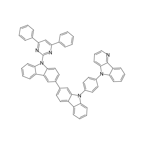 c1ccc(-c2cc(-c3ccccc3)nc(-n3c4ccccc4c4cc(-c5ccc6c7ccccc7n(-c7ccc(-n8c9ccccc9c9ncccc98)cc7)c6c5)ccc43)n2)cc1